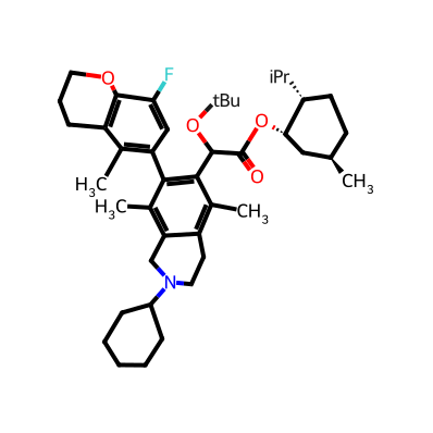 Cc1c(-c2c(C)c3c(c(C)c2C(OC(C)(C)C)C(=O)O[C@H]2C[C@H](C)CC[C@H]2C(C)C)CCN(C2CCCCC2)C3)cc(F)c2c1CCCO2